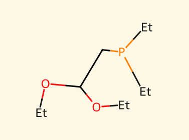 CCOC(CP(CC)CC)OCC